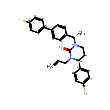 C=CCN1C(=O)N([C@@H](C)c2ccc(-c3ccc(F)cc3)cc2)CC[C@H]1c1ccc(F)cc1